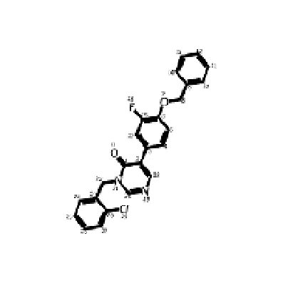 O=c1c(-c2ccc(OCc3ccccc3)c(F)c2)cncn1Cc1ccccc1Cl